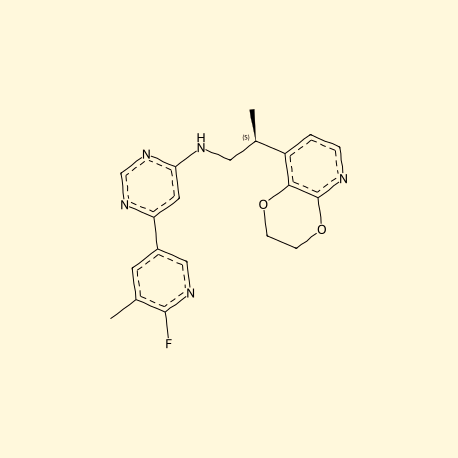 Cc1cc(-c2cc(NC[C@@H](C)c3ccnc4c3OCCO4)ncn2)cnc1F